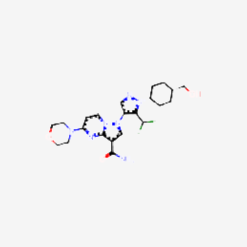 NC(=O)c1cn(-c2cnn([C@H]3CC[C@H](CO)CC3)c2C(F)F)[n+]2ccc(N3CCOCC3)nc12